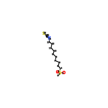 CS(=O)(=O)CCCCCCCCCCN=C=S